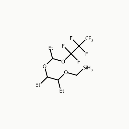 CCC(OC(CC)C(CC)OC[SiH3])OC(F)(F)C(F)(F)C(F)(F)F